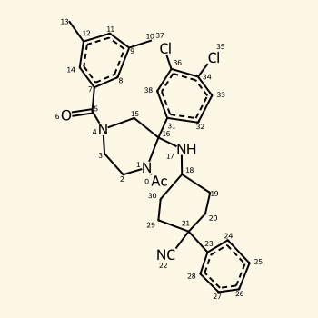 CC(=O)N1CCN(C(=O)c2cc(C)cc(C)c2)CC1(NC1CCC(C#N)(c2ccccc2)CC1)c1ccc(Cl)c(Cl)c1